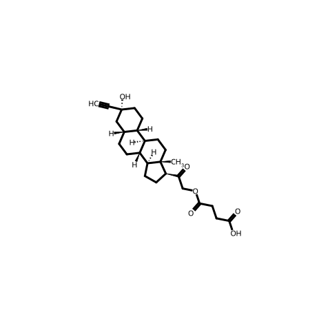 C#C[C@@]1(O)CC[C@H]2[C@H](CC[C@@H]3[C@@H]2CC[C@]2(C)[C@@H](C(=O)COC(=O)CCC(=O)O)CC[C@@H]32)C1